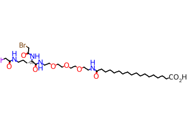 O=C(O)CCCCCCCCCCCCCCCCC(=O)NCCOCCOCCOCCNC(=O)[C@H](CCCNC(=O)CI)NC(=O)CBr